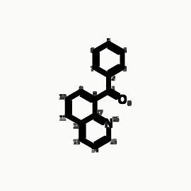 O=C(c1ccccc1)c1cccc2cccnc12